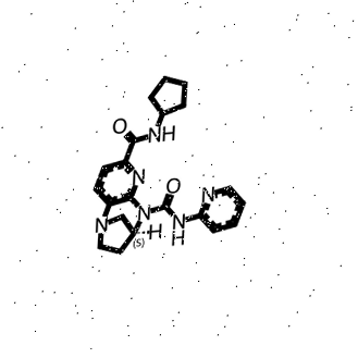 O=C(NC1CCCC1)c1ccc2c(n1)N(C(=O)Nc1ccccn1)[C@H]1CCN2C1